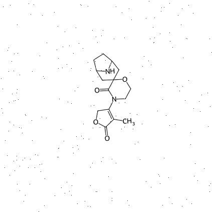 CC1=C(N2CCOC3(CC4CCC(C3)N4)C2=O)COC1=O